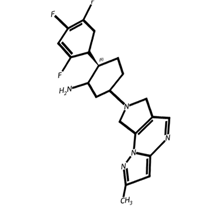 Cc1cc2ncc3c(n2n1)CN(C1CC[C@H](C2CC(F)=C(F)C=C2F)C(N)C1)C3